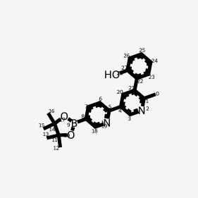 Cc1ncc(-c2ccc(B3OC(C)(C)C(C)(C)O3)cn2)cc1-c1ccccc1O